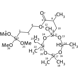 CO[Si](CCCOC(=O)C(C)C[Si]1(C)O[SiH](C)O[Si](C)(C)O[Si](C)(C)O1)(OC)OC